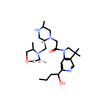 CCCC(O)c1cc2c(cn1)C(C)(C)CN2C(=O)CN1CC(C)NC[C@@H]1CN1C(C)COC[C@H]1C